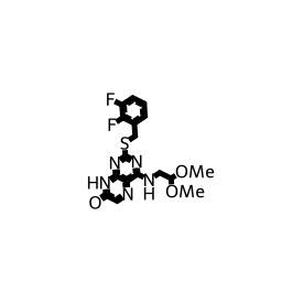 COC(CNc1nc(SCc2cccc(F)c2F)nc2[nH]c(=O)cnc12)OC